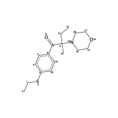 CCSc1ccc(C(=O)C(C)(CC)N2CCOCC2)cc1